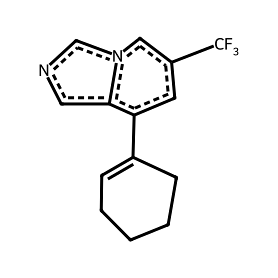 FC(F)(F)c1cc(C2=CCCCC2)c2cncn2c1